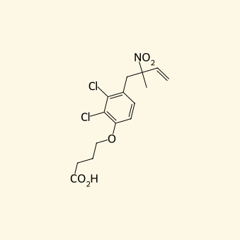 C=CC(C)(Cc1ccc(OCCCC(=O)O)c(Cl)c1Cl)[N+](=O)[O-]